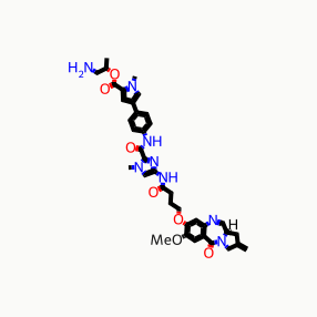 C=C1C[C@H]2C=Nc3cc(OCCCC(=O)Nc4cn(C)c(C(=O)Nc5ccc(-c6cc(C(=O)OC(C)CN)n(C)c6)cc5)n4)c(OC)cc3C(=O)N2C1